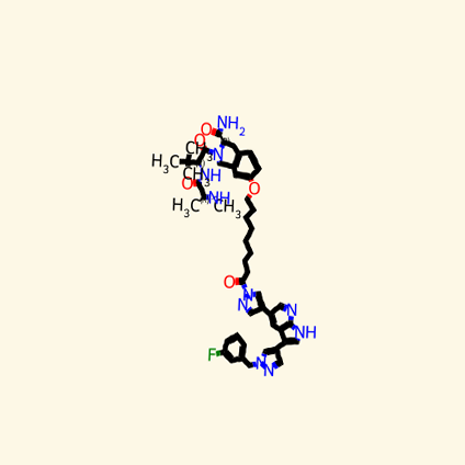 CN[C@H](C)C(=O)N[C@@H](C(=O)N1Cc2cc(OCCCCCCCCC(=O)n3cc(-c4cnc5[nH]cc(-c6cnn(Cc7cccc(F)c7)c6)c5c4)cn3)ccc2C[C@@H]1C(N)=O)C(C)(C)C